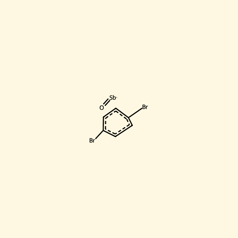 Brc1ccc(Br)cc1.[O]=[Sb]